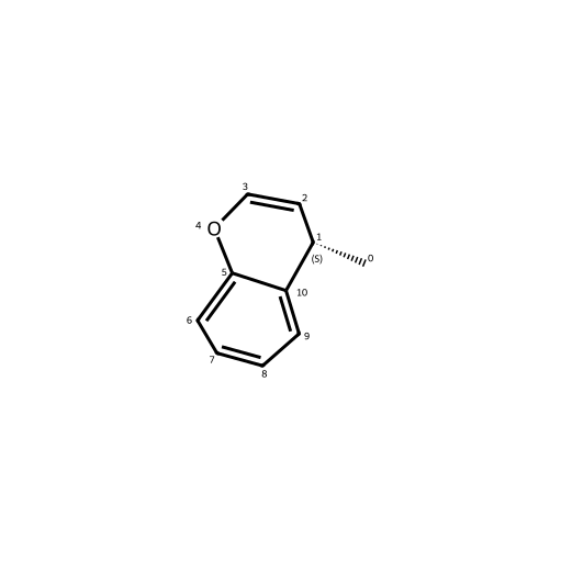 C[C@H]1C=COc2ccccc21